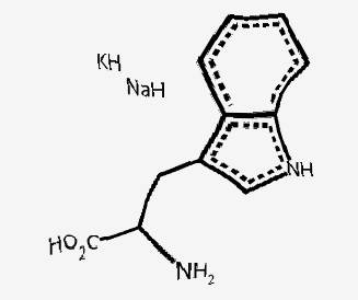 NC(Cc1c[nH]c2ccccc12)C(=O)O.[KH].[NaH]